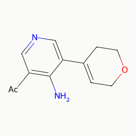 CC(=O)c1cncc(C2=CCOCC2)c1N